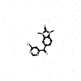 Cn1c(=O)n(C)c2cc(C(=O)c3cc(Cl)ncn3)ccc21